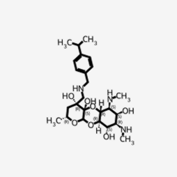 CN[C@@H]1[C@H](O)[C@H](NC)[C@H]2O[C@]3(O)C(O[C@@H]2[C@H]1O)O[C@H](C)C[C@@]3(O)CNCc1ccc(C(C)C)cc1